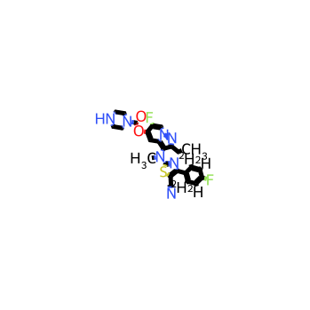 [2H]c1c([2H])c(-c2nc(N(C)c3c(CC)nn4cc(F)c(OC(=O)N5CCNCC5)cc34)sc2C#N)c([2H])c([2H])c1F